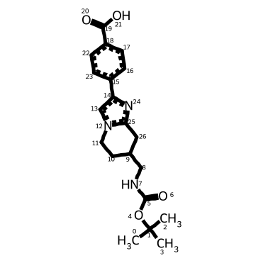 CC(C)(C)OC(=O)NCC1CCn2cc(-c3ccc(C(=O)O)cc3)nc2C1